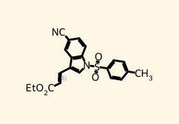 CCOC(=O)/C=C/c1cn(S(=O)(=O)c2ccc(C)cc2)c2ccc(C#N)cc12